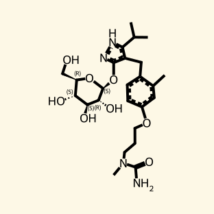 Cc1cc(OCCCN(C)C(N)=O)ccc1Cc1c(O[C@@H]2O[C@H](CO)[C@@H](O)[C@H](O)[C@H]2O)n[nH]c1C(C)C